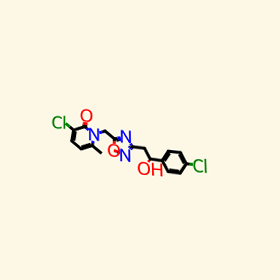 Cc1ccc(Cl)c(=O)n1Cc1nc(C[C@H](O)c2ccc(Cl)cc2)no1